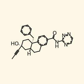 CC#C[C@@]1(O)CC[C@@]2(Cc3ccccc3)c3ccc(C(=O)Nc4nccnn4)cc3CC[C@@H]2C1